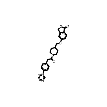 O=C1OCc2cc(OCC3CCN(C(=O)Cc4ccc(-n5cnnn5)cc4)CC3)ccc21